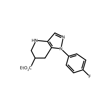 CCOC(=O)C1CNc2cnn(-c3ccc(F)cc3)c2C1